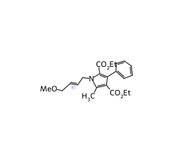 CCOC(=O)c1c(-c2ccccc2)c(C(=O)OCC)n(C/C=C/COC)c1C